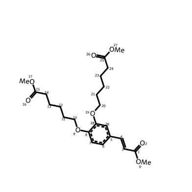 COC(=O)C=Cc1ccc(OCCCCCC(=O)OC)c(OCCCCCC(=O)OC)c1